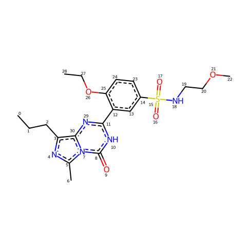 CCCc1nc(C)n2c(=O)[nH]c(-c3cc(S(=O)(=O)NCCOC)ccc3OCC)nc12